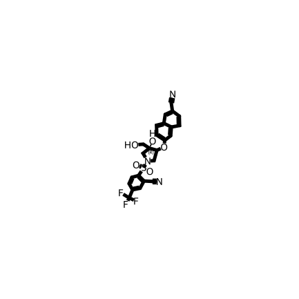 N#Cc1ccc2cc(OC3CN(S(=O)(=O)c4ccc(C(F)(F)F)cc4C#N)C[C@@]3(O)CO)ccc2c1